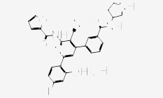 Cl.N#Cc1c(-c2cccc(C(=O)NC3CCNC3)c2)cc(-c2ccc(F)cc2O)nc1NC(=O)c1ccco1